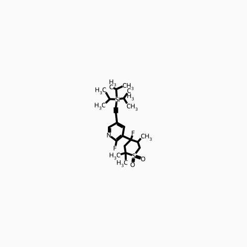 CC1CS(=O)(=O)C(C)(C)CC1(F)c1cc(C#C[Si](C(C)C)(C(C)C)C(C)C)cnc1F